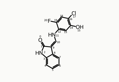 O=C1Nc2ccccc2C1=CNc1cc(O)c(Cl)cc1F